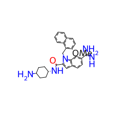 COc1ccc2ccccc2c1Cn1c(C(=O)N[C@H]2CC[C@H](N)CC2)cc2ccc(C(=N)N)cc21